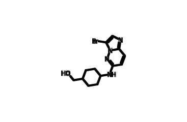 OCC1CCC(Nc2ccc3ncc(Br)n3n2)CC1